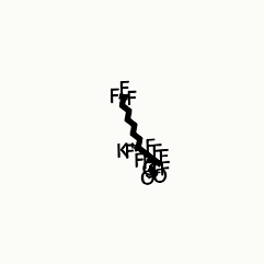 O=S(=O)([O-])C(F)(F)C(F)(F)C(F)(F)C(F)CCCCCCC(F)(F)F.[K+]